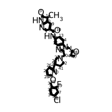 CC1C(=O)Nc2ncc(C(=O)Nc3ccc4c(c3)nc(CN3CC=C(c5cccc(OCc6ccc(Cl)cc6F)n5)CC3)n4C[C@@H]3CCO3)cc21